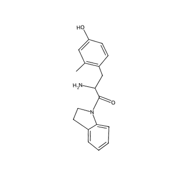 Cc1cc(O)ccc1CC(N)C(=O)N1CCc2ccccc21